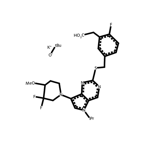 CC(C)(C)[O-].COC1CCN(c2cn(C(C)C)c3cnc(SCc4ccc(F)c(CC(=O)O)c4)nc23)CC1(F)F.[K+]